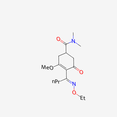 CCCC(=NOCC)C1=C(OC)CC(C(=O)N(C)C)CC1=O